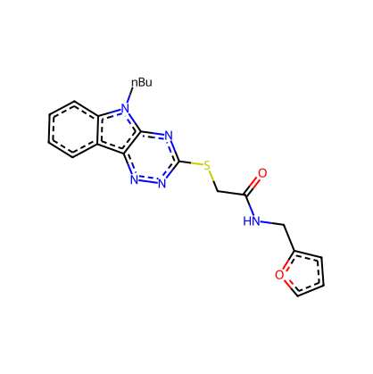 CCCCn1c2ccccc2c2nnc(SCC(=O)NCc3ccco3)nc21